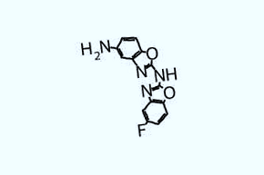 Nc1ccc2oc(Nc3nc4cc(F)ccc4o3)nc2c1